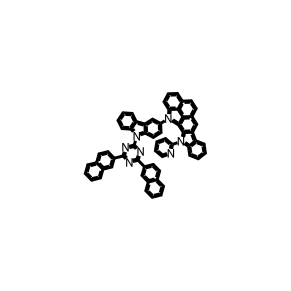 c1ccc(-n2c3ccccc3c3cc4ccc5cccc6c5c4c(c32)n6-c2ccc3c(c2)c2ccccc2n3-c2nc(-c3ccc4ccccc4c3)nc(-c3ccc4ccccc4c3)n2)nc1